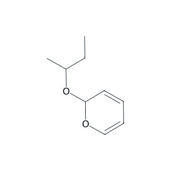 CCC(C)OC1C=CC=CO1